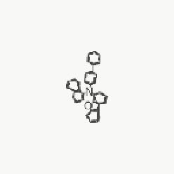 c1ccc(-c2ccc(N(c3cccc4ccccc34)c3cccc4c3oc3ccccc34)cc2)cc1